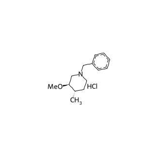 CO[C@H]1CN(Cc2ccccc2)CC[C@@H]1C.Cl